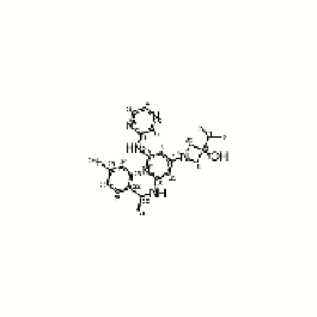 CC(C)C1(O)CN(c2cc(Nc3cnccn3)nc(N[C@@H](C)c3ccc(F)cc3)c2)C1